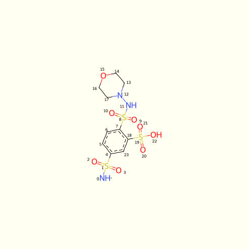 [NH]S(=O)(=O)c1ccc(S(=O)(=O)NN2CCOCC2)c(S(=O)(=O)O)c1